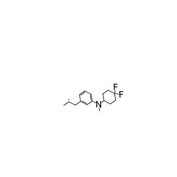 C[CH]Cc1cccc(N(C)C2CCC(F)(F)CC2)c1